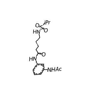 CC(=O)Nc1cccc(NC(=O)CCCCNS(=O)(=O)C(C)C)c1